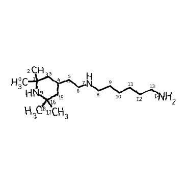 CC1(C)CC([C]CNCCCCCCN)CC(C)(C)N1